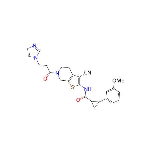 COc1cccc(C2CC2C(=O)Nc2sc3c(c2C#N)CCN(C(=O)CCn2ccnc2)C3)c1